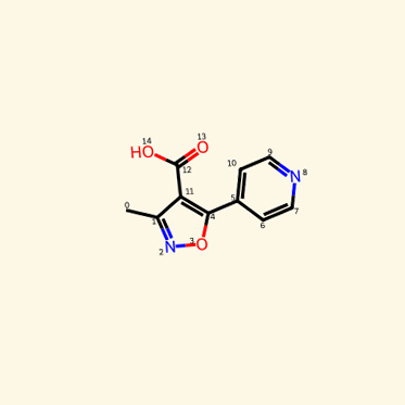 Cc1noc(-c2ccncc2)c1C(=O)O